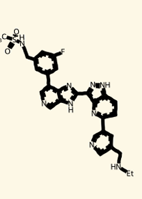 CCNCc1cncc(-c2ccc3[nH]nc(-c4nc5c(-c6cc(F)cc(CNS(C)(=O)=O)c6)cncc5[nH]4)c3n2)c1